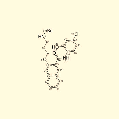 CCCCNCCCOc1cc2ccccc2cc1C(=O)Nc1ccc(Cl)cc1O